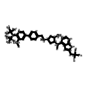 [2H]C([2H])([2H])N(c1ncc(-c2ccc(CN[C@H]3C[C@@H](O)[C@@H](N(C)c4ncnc5sc(CC(F)(F)F)cc45)C3)cc2)cc1OC)C([2H])([2H])[2H]